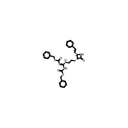 O=C(/N=C(\NCCC[C@H]1C(=O)N[C@@H]1/C=C/c1ccccc1)NC(=O)OCc1ccccc1)OCc1ccccc1